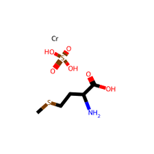 CSCCC(N)C(=O)O.O=S(=O)(O)O.[Cr]